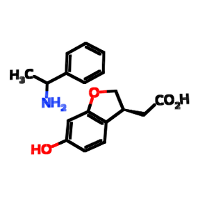 CC(N)c1ccccc1.O=C(O)C[C@@H]1COc2cc(O)ccc21